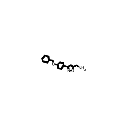 NCc1cc(-c2ccc(OCc3ccccc3)cc2)no1